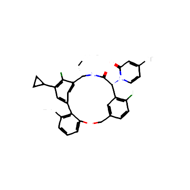 CCOC(=O)C[C@@H]1NC(=O)[C@@H](n2ccc(C(F)(F)F)cc2=O)c2cc(ccc2F)COc2cccc(C)c2-c2cc(C3CC3)c(F)c1c2